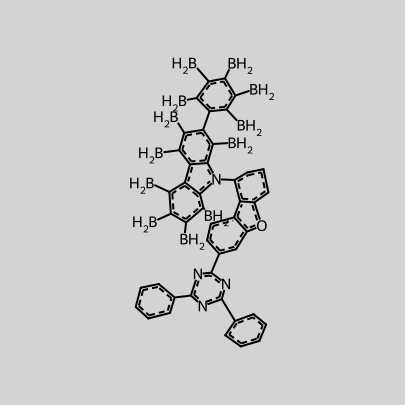 Bc1c(B)c(B)c(-c2c(B)c(B)c3c4c(B)c(B)c(B)c(B)c4n(-c4cccc5oc6cc(-c7nc(-c8ccccc8)nc(-c8ccccc8)n7)ccc6c45)c3c2B)c(B)c1B